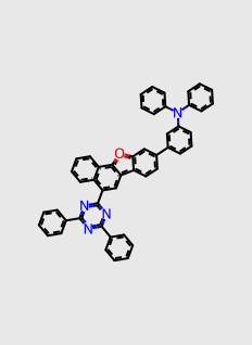 c1ccc(-c2nc(-c3ccccc3)nc(-c3cc4c5ccc(-c6cccc(N(c7ccccc7)c7ccccc7)c6)cc5oc4c4ccccc34)n2)cc1